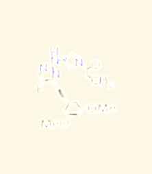 C=CC(=O)N1CC[C@H](Nc2ncc(F)c(C#Cc3cc(OC)cc(OC)c3)n2)C1